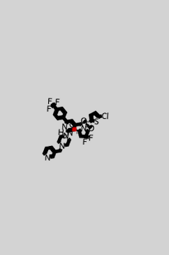 NC(=O)[C@@H]1CC(F)(F)C[N+]1(Cc1cc(-c2ccc(C(F)(F)F)cc2)nc(N2CCN(Cc3cccnc3)CC2)c1)S(=O)(=O)c1ccc(Cl)s1